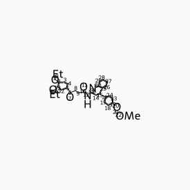 CCOc1ccc(C(=O)CCC(=O)Nc2cc(-c3ccc(OCOC)cc3)c3ccccc3n2)cc1OCC